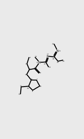 C=C(C(CC)CC1CCCC1CC)N(C)/C(C)=N/C(CC)=N\C